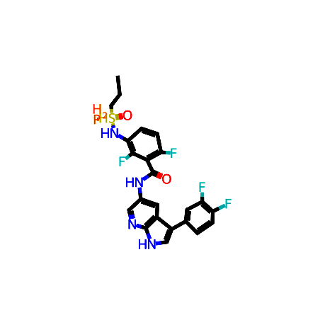 CCC[SH](=O)(P)Nc1ccc(F)c(C(=O)Nc2cnc3[nH]cc(-c4ccc(F)c(F)c4)c3c2)c1F